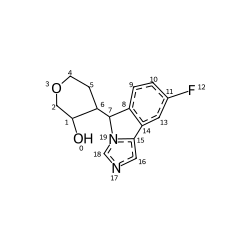 OC1COCCC1C1c2ccc(F)cc2-c2cncn21